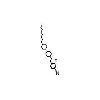 CCCCCCCC[C@H]1CC[C@H](C2CCC(CCc3ccc(C#N)cc3F)CC2)CC1